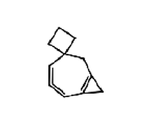 C1=CC2=C(C2)CC2(C=1)CCC2